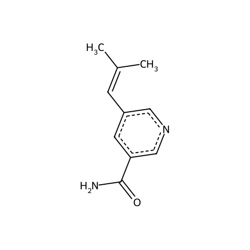 CC(C)=Cc1cncc(C(N)=O)c1